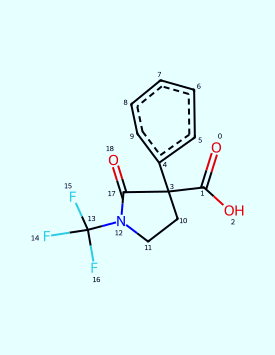 O=C(O)C1(c2ccccc2)CCN(C(F)(F)F)C1=O